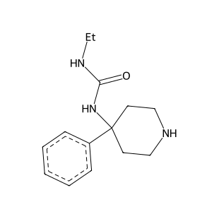 CCNC(=O)NC1(c2ccccc2)CCNCC1